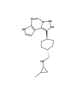 CC1CC1NC[C@H]1CC[C@H](C2=C3c4cc[nH]c4N=CN3NN2)CC1